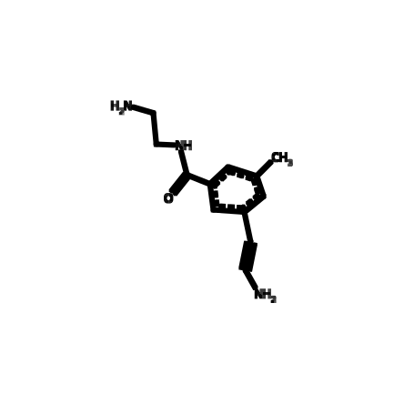 Cc1cc(C#CN)cc(C(=O)NCCN)c1